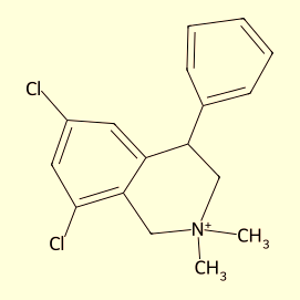 C[N+]1(C)Cc2c(Cl)cc(Cl)cc2C(c2ccccc2)C1